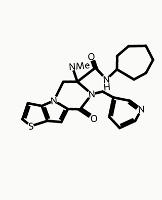 CNC1(C(=O)NC2CCCCCC2)Cn2c(cc3sccc32)C(=O)N1Cc1cccnc1